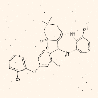 CC1(C)CC2=C(C(c3ccc(Oc4ccccc4Cl)cc3F)Nc3cccc(O)c3N2)S(=O)(=O)C1